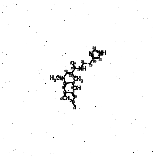 C=C(/C=C\CI)/C=C(\CO)N(C)/C=C(\C)C(=O)NCCc1c[nH]cn1